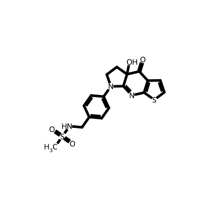 CS(=O)(=O)NCc1ccc(N2CCC3(O)C(=O)c4ccsc4N=C23)cc1